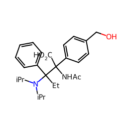 CCC(c1ccccc1)(N(C(C)C)C(C)C)C(NC(C)=O)(C(=O)O)c1ccc(CO)cc1